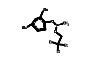 CCC(CC)(CC)CO[P@](C)Oc1ccc(C(C)(C)C)cc1C(C)(C)C